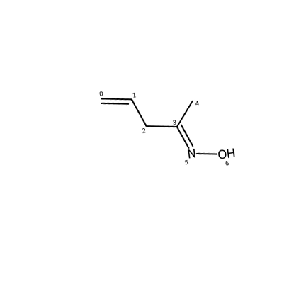 C=CC/C(C)=N/O